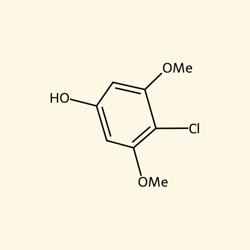 COc1cc(O)cc(OC)c1Cl